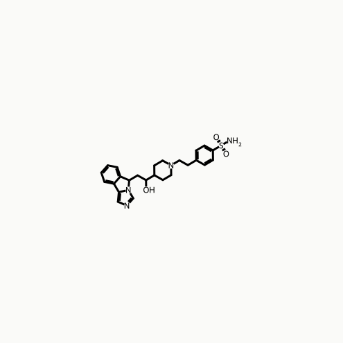 NS(=O)(=O)c1ccc(CCN2CCC(C(O)CC3c4ccccc4-c4cncn43)CC2)cc1